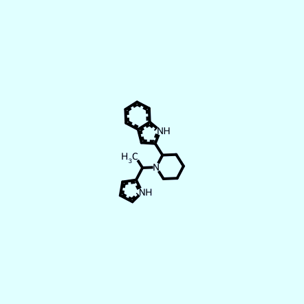 CC(c1ccc[nH]1)N1CCCCC1c1cc2ccccc2[nH]1